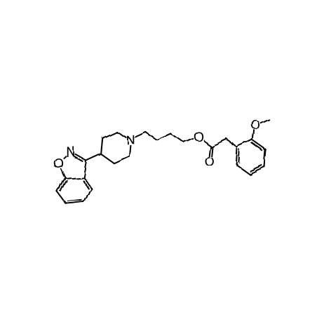 COc1ccccc1CC(=O)OCCCCN1CCC(c2noc3ccccc23)CC1